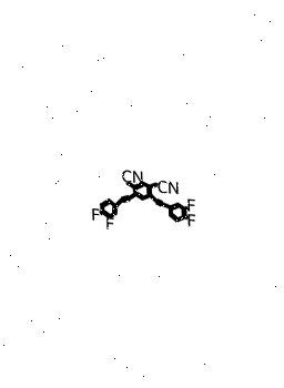 N#CCc1cc(CC#N)c(C#Cc2ccc(F)c(F)c2)cc1C#Cc1ccc(F)c(F)c1